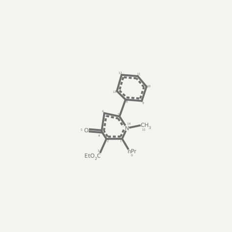 CCCc1c(C(=O)OCC)c(=O)cc(-c2ccccc2)n1C